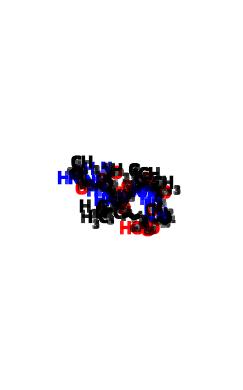 CCCCC[C@H](NC(=O)[C@@H]1CCCN1C(=O)CNC(=O)[C@H](C)NC(=O)[C@H](CC(C)C)NC(=O)CNC(=O)[C@H](CC(C)C)NC(=O)[C@H](CCC(N)=O)NC(=O)CNC(=O)[C@@H]1C[C@@H](C)CN1)C(=O)O